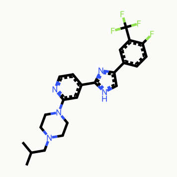 CC(C)CN1CCN(c2cc(-c3nc(-c4ccc(F)c(C(F)(F)F)c4)c[nH]3)ccn2)CC1